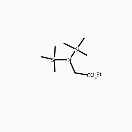 CCOC(=O)CN([Si](C)(C)C)[Si](C)(C)C